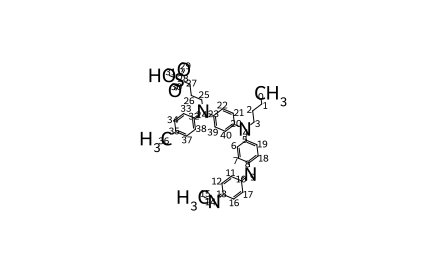 CCCCN(c1ccc(N=C2C=CC(=NC)C=C2)cc1)c1ccc(N(CCCS(=O)(=O)O)c2ccc(C)cc2)cc1